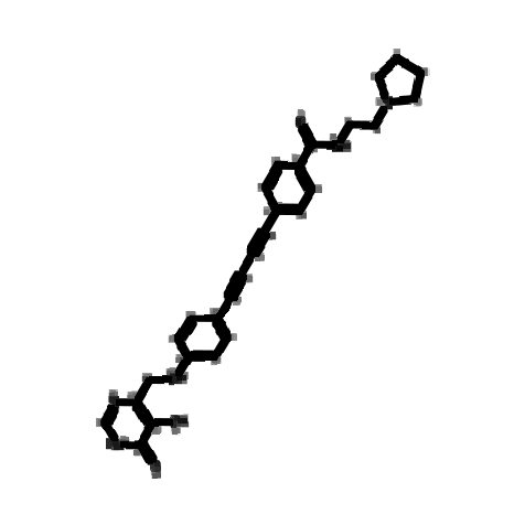 O=C(NCCN1CCCC1)c1ccc(C#CC#Cc2ccc(NCc3nc[nH]c(=O)c3O)cc2)cc1